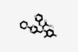 Cc1cc(F)ccc1N(Cc1cnc(N2CCCCC2)nc1)[C@@H](Cc1cccnc1)C(N)=O